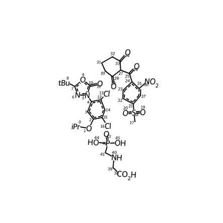 CC(C)Oc1cc(-n2nc(C(C)(C)C)oc2=O)c(Cl)cc1Cl.CS(=O)(=O)c1ccc(C(=O)C2C(=O)CCCC2=O)c([N+](=O)[O-])c1.O=C(O)CNCP(=O)(O)O